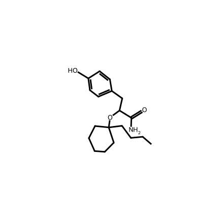 CCCCC1(OC(Cc2ccc(O)cc2)C(N)=O)CCCCC1